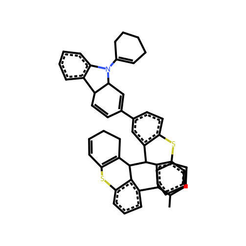 CC1C=CCCC1c1cccc2c1C(C1c3ccccc3Sc3ccc(C4=CC5C(C=C4)c4ccccc4N5C4=CCCCC4)cc31)C1=C(C=CCC1)S2